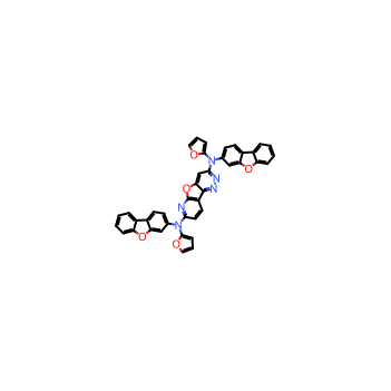 c1coc(N(c2ccc3c(c2)oc2ccccc23)c2cc3oc4nc(N(c5ccc6c(c5)oc5ccccc56)c5ccco5)ccc4c3nn2)c1